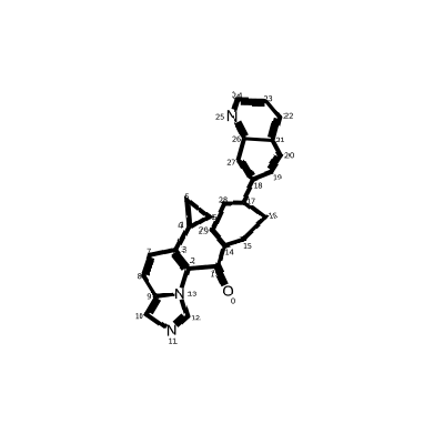 O=C(c1c(C2CC2)ccc2cncn12)C1CCC(c2ccc3cccnc3c2)CC1